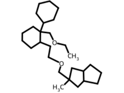 CCOCC1(C2CCCCC2)CCCCC1CCOCC1(C)CC2CCCC2C1